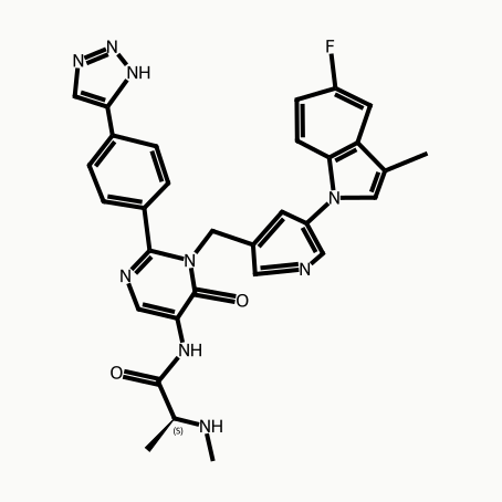 CN[C@@H](C)C(=O)Nc1cnc(-c2ccc(-c3cnn[nH]3)cc2)n(Cc2cncc(-n3cc(C)c4cc(F)ccc43)c2)c1=O